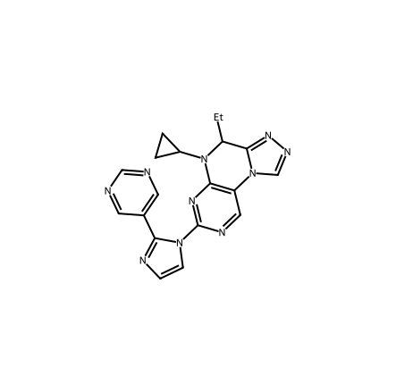 CCC1c2nncn2-c2cnc(-n3ccnc3-c3cncnc3)nc2N1C1CC1